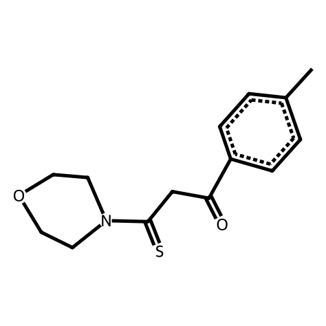 Cc1ccc(C(=O)CC(=S)N2CCOCC2)cc1